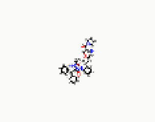 COC(=O)NC(C(=O)Nc1ccccc1CC[C@@H]1CN[C@H](C(=O)N2CCCC2)CO1)C(c1ccccc1)c1ccccc1